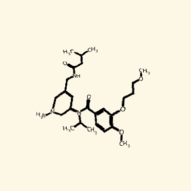 BN1CC(CNC(=O)CC(C)C)CC(N(C(=O)c2ccc(OC)c(OCCCOC)c2)C(C)C)C1